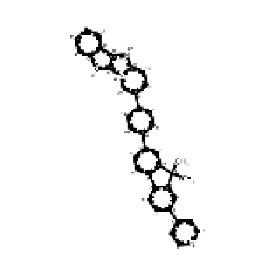 CC1(C)c2cc(-c3ccncc3)ccc2-c2ccc(-c3ccc(-c4ccc5nc6c7ccccc7sc6n5c4)cc3)cc21